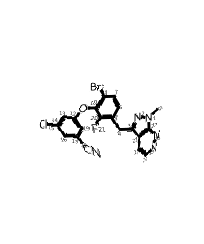 Cn1nc(Cc2ccc(Br)c(Oc3cc(Cl)cc(C#N)c3)c2F)c2ccnnc21